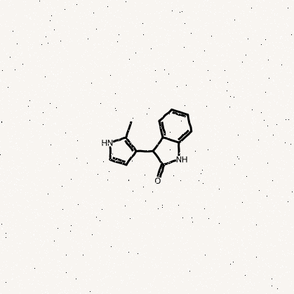 Cc1[nH]ccc1C1C(=O)Nc2ccccc21